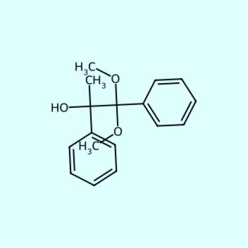 COC(OC)(c1ccccc1)C(C)(O)c1ccccc1